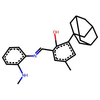 CNc1ccccc1/N=C/c1cc(C)cc(C23CC4CC(CC(C4)C2)C3)c1O